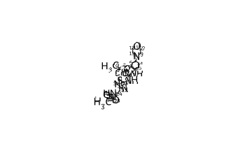 CC(C)COc1cc(N2CCOCC2)ccc1NC(=O)Nc1nc(CNS(C)(=O)=O)ns1